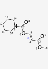 COC(=O)/C=C/OC(=O)N1CCCCC1